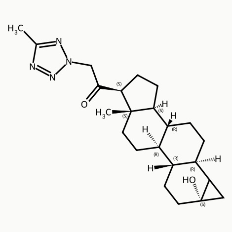 Cc1nnn(CC(=O)[C@H]2CC[C@H]3[C@@H]4CC[C@H]5C6C[C@@]6(O)CC[C@@H]5[C@H]4CC[C@]23C)n1